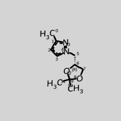 Cc1ccn(C[C@@H]2COC(C)(C)O2)n1